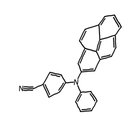 N#Cc1ccc(N(c2ccccc2)c2cc3ccc4cccc5ccc(c2)c3c45)cc1